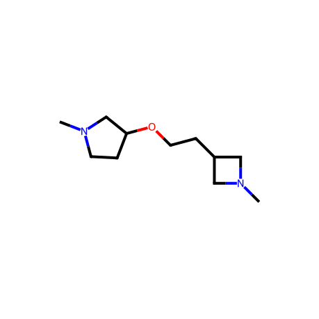 CN1CC(CCOC2CCN(C)C2)C1